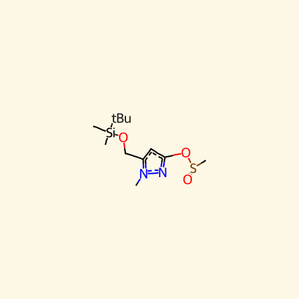 Cn1nc(OS(C)=O)cc1CO[Si](C)(C)C(C)(C)C